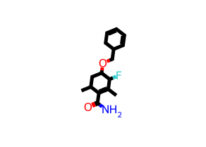 CC1=C(C(N)=O)C(C)CC(OCC2C=CC=CC2)C1F